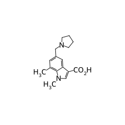 Cc1cc(CN2CCCC2)cc2c(C(=O)O)cn(C)c12